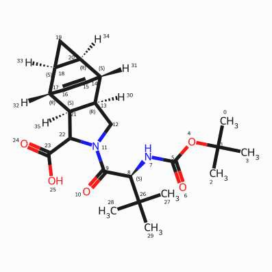 CC(C)(C)OC(=O)N[C@H](C(=O)N1C[C@@H]2[C@@H]3C=C[C@@H]([C@H]4C[C@@H]34)[C@@H]2C1C(=O)O)C(C)(C)C